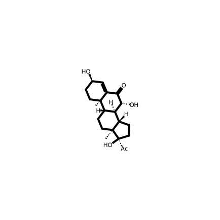 CC(=O)[C@@]1(O)CC[C@H]2[C@@H]3[C@@H](O)C(=O)C4=C[C@H](O)CC[C@]4(C)[C@H]3CC[C@@]21C